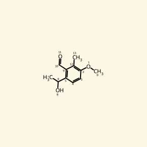 COc1ccc(C(C)O)c(C=O)c1C